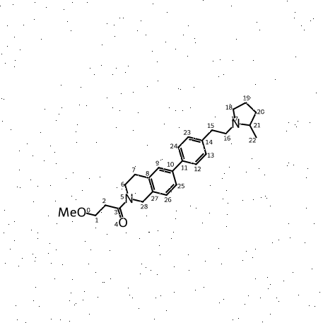 COCCC(=O)N1CCc2cc(-c3ccc(CCN4CCCC4C)cc3)ccc2C1